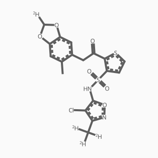 [2H]C1Oc2cc(C)c(CC(=O)c3sccc3S(=O)(=O)Nc3onc(C([2H])([2H])[2H])c3Cl)cc2O1